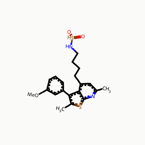 COc1cccc(-c2c(C)sc3nc(C)cc(CCCCN[SH](=O)=O)c23)c1